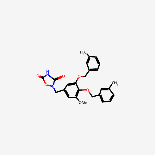 COc1cc(Cn2oc(=O)[nH]c2=O)cc(OCc2cccc(C)c2)c1OCc1cccc(C)c1